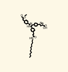 CCCCCCCCCCCCNC(=O)C=Cc1ccc(-c2[nH]c(-c3ccc(C=C(C=O)OCC)cc3)nc2-c2ccc(C3=NOC(C(=O)O)C3)cc2)cc1